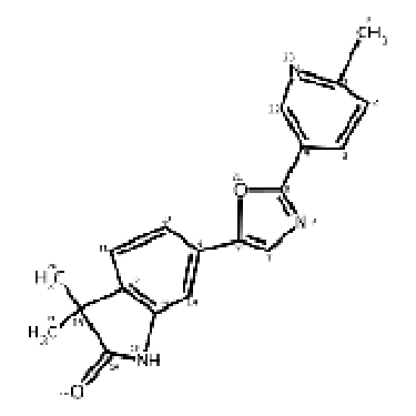 Cc1ccc(-c2ncc(-c3ccc4c(c3)NC(=O)C4(C)C)o2)cn1